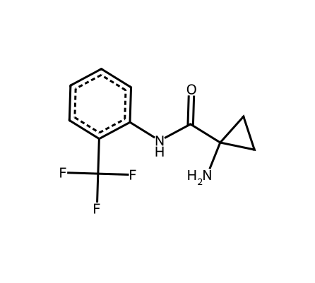 NC1(C(=O)Nc2ccccc2C(F)(F)F)CC1